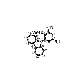 COc1c(C#N)cc(Cl)cc1-n1c2ccccc2c2ccccc21